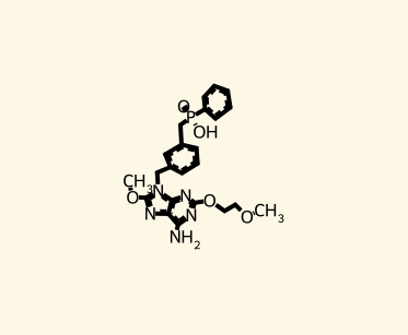 COCCOc1nc(N)c2nc(OC)n(Cc3cccc(CP(=O)(O)c4ccccc4)c3)c2n1